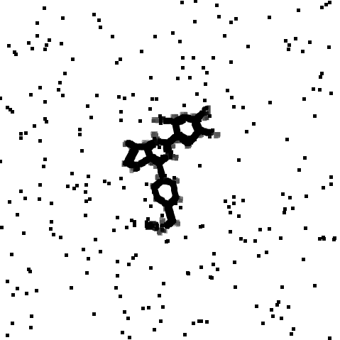 Cc1csc2c(N3CCC(=CC(=O)O)CC3)nc(-c3cc(F)c(Cl)cc3F)nc12